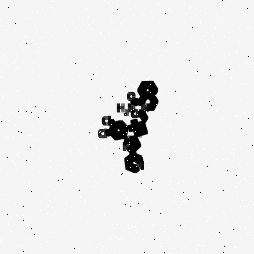 CC1(C)[C@@H](CC(=O)N2CCc3ccccc3C2C(N)=O)C[C@@H]1c1cc(-c2cccnc2)nn1-c1ccc(Cl)c(Cl)c1